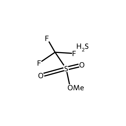 COS(=O)(=O)C(F)(F)F.S